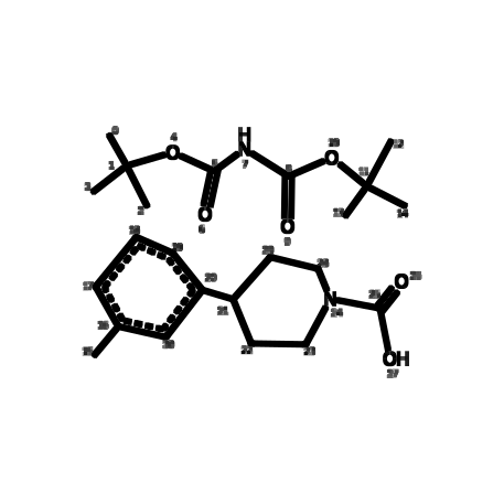 CC(C)(C)OC(=O)NC(=O)OC(C)(C)C.Cc1cccc(C2CCN(C(=O)O)CC2)c1